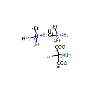 CC[N+](C)(CC)CC.CC[N+](C)(CC)CC.O=C([O-])C(Cl)(I)C(=O)[O-]